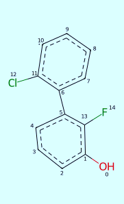 Oc1cccc(-c2ccc[c]c2Cl)c1F